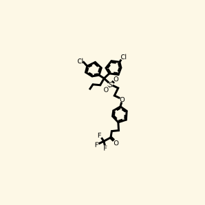 CCCC(c1ccc(Cl)cc1)(c1ccc(Cl)cc1)S(=O)(=O)CCOc1ccc(CCC(=O)C(F)(F)F)cc1